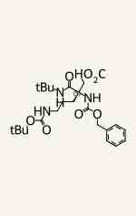 CC(C)(C)NC(=O)[C@](CCCNC(=O)OC(C)(C)C)(CC(=O)O)NC(=O)OCc1ccccc1